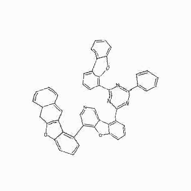 C1=CC2=Cc3c(oc4cccc(-c5cncc6c5oc5cccc(-c7nc(-c8ccccc8)nc(-c8cccc9c8oc8ccccc89)n7)c56)c34)CC2C=C1